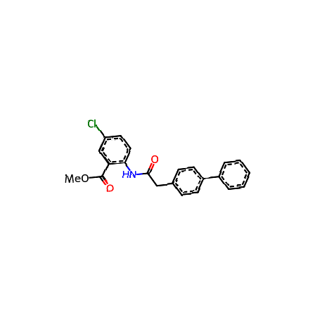 COC(=O)c1cc(Cl)ccc1NC(=O)Cc1ccc(-c2ccccc2)cc1